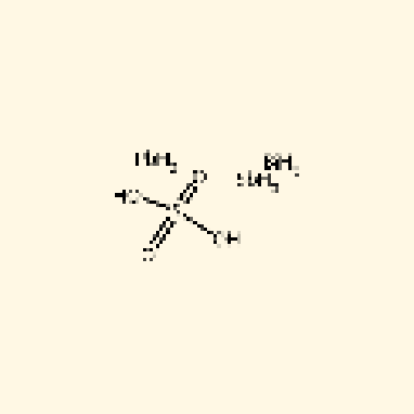 O=S(=O)(O)O.[BiH3].[PbH2].[SbH3]